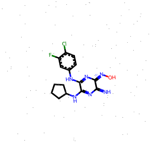 N=C1N=C(NC2CCCC2)C(Nc2ccc(Cl)c(F)c2)=N/C1=N/O